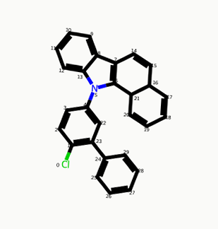 Clc1ccc(-n2c3c(c4ccccc42)C=CC2C=CC=CC32)cc1-c1ccccc1